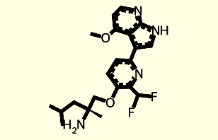 COc1ccnc2[nH]cc(-c3ccc(OC[C@](C)(N)CC(C)C)c(C(F)F)n3)c12